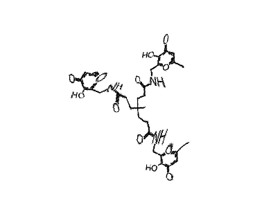 Cc1cc(=O)c(O)c(CNC(=O)CCC(C)(CCC(=O)NCc2occc(=O)c2O)CCC(=O)NCc2oc(C)cc(=O)c2O)o1